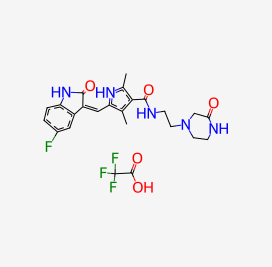 Cc1[nH]c(/C=C2\C(=O)Nc3ccc(F)cc32)c(C)c1C(=O)NCCN1CCNC(=O)C1.O=C(O)C(F)(F)F